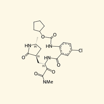 CNC(=O)C(=O)[C@H](C[C@@H]1C[C@@H](C)NC1=O)NC(=O)c1cc(Cl)ccc1NC(=O)OC1CCCC1